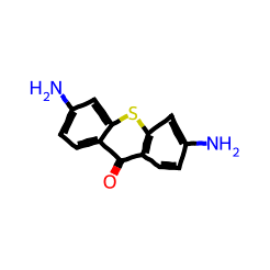 Nc1ccc2c(=O)c3ccc(N)cc3sc2c1